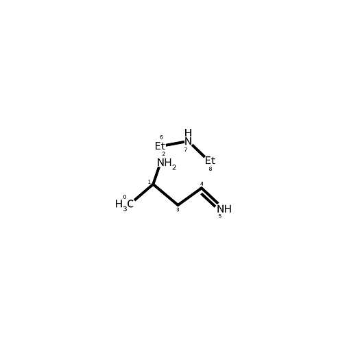 CC(N)CC=N.CCNCC